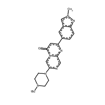 Cn1cc2cc(-c3cc(=O)n4cc(N5CCN(C(C)(C)C)CC5)ncc4n3)ccc2n1